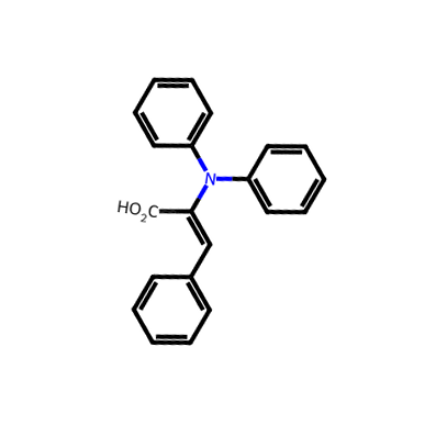 O=C(O)C(=Cc1ccccc1)N(c1ccccc1)c1ccccc1